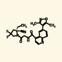 CC[C@@]1(C#N)CC(F)(F)CN1C(=O)CNC(=O)c1ccnc2ccc(-c3c(C)noc3C)cc12